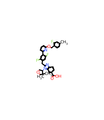 Cc1ccc(COc2cccc(-c3cc(F)c(Cc4nc5ccc(C(=O)O)cc5n4[C@@H]4COCC4(C)C)cc3F)n2)c(F)c1